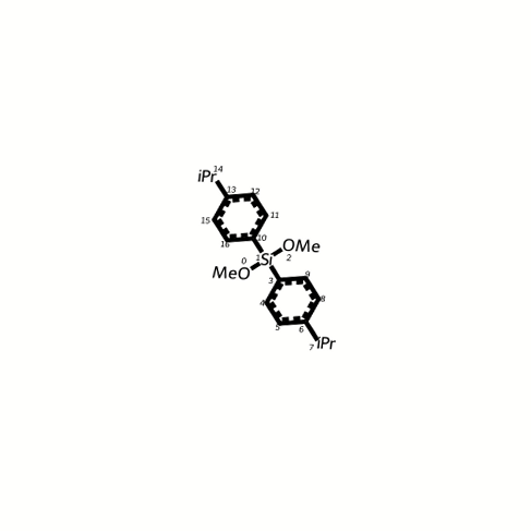 CO[Si](OC)(c1ccc(C(C)C)cc1)c1ccc(C(C)C)cc1